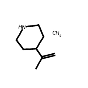 C.C=C(C)C1CCNCC1